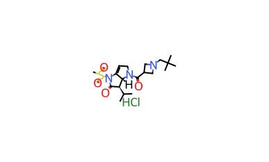 CC(C)[C@H]1C(=O)N(S(C)(=O)=O)C2=CCN(C(=O)C3CN(CC(C)(C)C)C3)[C@@H]21.Cl